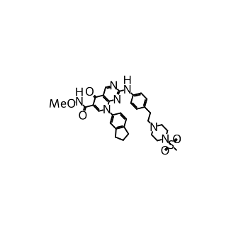 CONC(=O)c1cn(-c2ccc3c(c2)CCC3)c2nc(Nc3ccc(CCN4CCN(S(C)(=O)=O)CC4)cc3)ncc2c1=O